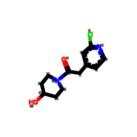 O=C(Cc1ccnc(Cl)c1)N1CCC(O)CC1